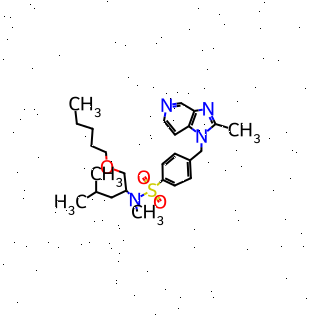 CCCCCOCC(CC(C)C)N(C)S(=O)(=O)c1ccc(Cn2c(C)nc3cnccc32)cc1